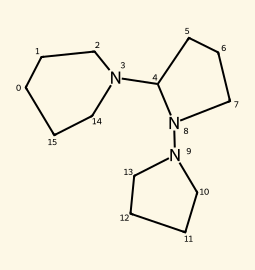 C1CCN(C2CCCN2N2CCCC2)CC1